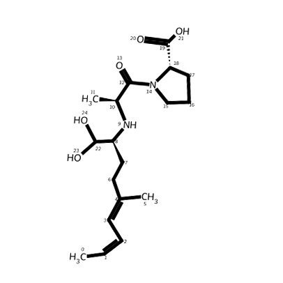 C/C=C\C=C(/C)CC[C@H](N[C@@H](C)C(=O)N1CCC[C@H]1C(=O)O)C(O)O